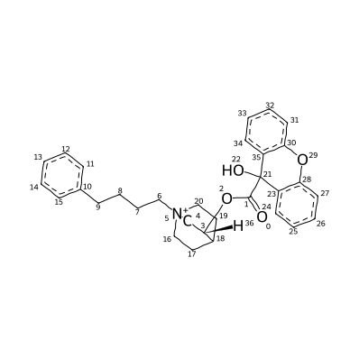 O=C(O[C@H]1C[N+]2(CCCCc3ccccc3)CCC1CC2)C1(O)c2ccccc2Oc2ccccc21